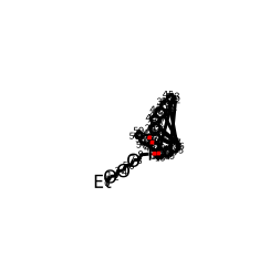 CCOCCOCCOCCN1CC2C3=c4c5c6c7c4c4c8c(cc9cc%10c%11c%12c%13c%14c(cc%15c(c%14c6c%13c6c%11c9c8c76)C5C(C3)C%15)=CC%12C%10)CC42C1c1ccc2c(c1)CC2